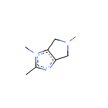 Cc1nc2c(n1C)CN(O)C2